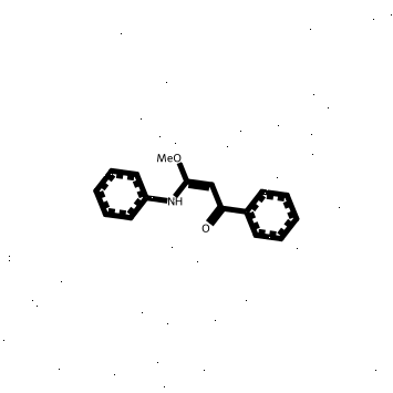 COC(=CC(=O)c1ccccc1)Nc1ccccc1